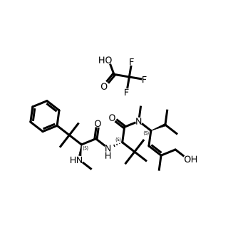 CN[C@H](C(=O)N[C@H](C(=O)N(C)[C@H](C=C(C)CO)C(C)C)C(C)(C)C)C(C)(C)c1ccccc1.O=C(O)C(F)(F)F